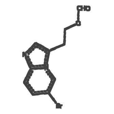 O=COCCc1cnc2ccc(Br)cn12